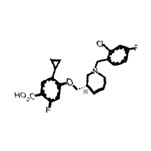 O=C(O)c1cc(C2CC2)c(OC[C@H]2CCCN(Cc3ccc(F)cc3Cl)C2)cc1F